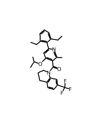 CCc1cccc(CC)c1-c1cc(OC(C)C)c(C(=O)N2CCCc3ccc(C(F)(F)F)cc32)c(C)n1